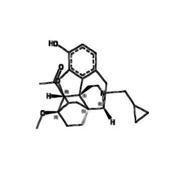 CO[C@]12CC[C@@]3(CC1C(C)=O)[C@H]1Cc4ccc(O)c5c4[C@@]3(CCN1CC1CC1)[C@H]2O5